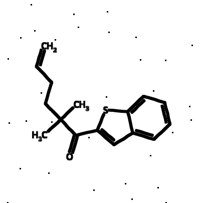 C=CCCC(C)(C)C(=O)c1cc2ccccc2s1